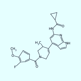 COc1ccc(C(=O)N2CC=C(c3cc(NC(=O)C4CC4)nc4[nH]ccc34)C(C)C2)cc1F